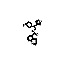 O=C(NCC(c1ccoc1)N1CCC(F)(F)CC1)c1cccc2ncccc12